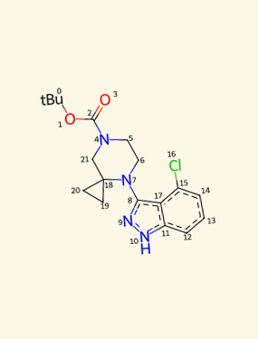 CC(C)(C)OC(=O)N1CCN(c2n[nH]c3cccc(Cl)c23)C2(CC2)C1